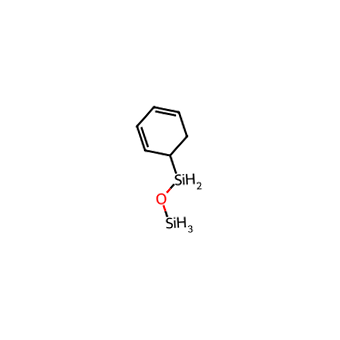 [SiH3]O[SiH2]C1C=CC=CC1